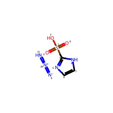 O=S(=O)(O)c1ncc[nH]1.[N-]=[N+]=N